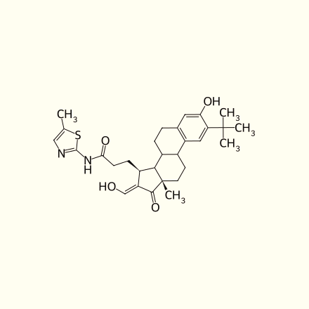 Cc1cnc(NC(=O)CC[C@@H]2/C(=C\O)C(=O)[C@@]3(C)CCC4c5cc(C(C)(C)C)c(O)cc5CCC4C23)s1